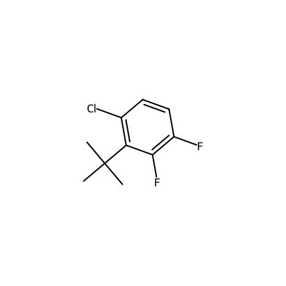 CC(C)(C)c1c(Cl)ccc(F)c1F